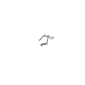 C=CC(=O)OCC.CCCCCC